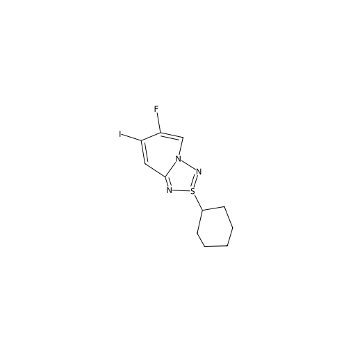 FC1=CN2N=S(C3CCCCC3)N=C2C=C1I